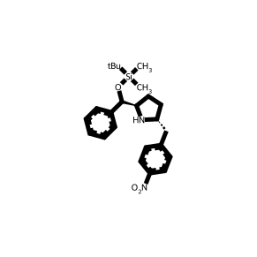 CC(C)(C)[Si](C)(C)OC(c1ccccc1)[C@H]1CC[C@H](Cc2ccc([N+](=O)[O-])cc2)N1